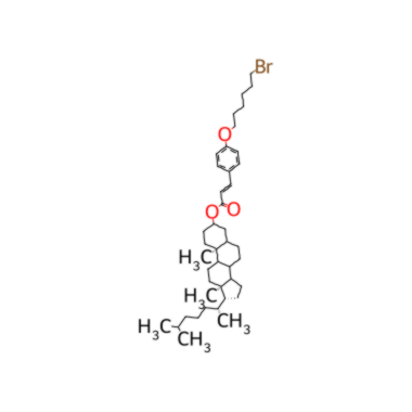 CC(C)CCC[C@@H](C)[C@H]1CCC2C3CCC4CC(OC(=O)C=Cc5ccc(OCCCCCCBr)cc5)CC[C@]4(C)C3CC[C@@]21C